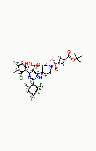 CC(C)(C)OC(=O)C1CC(S(=O)(=O)N2CCC(C3=C(C(=O)O)C(c4ccc(F)c(F)c4Cl)N=C(c4c(F)cc(F)cc4F)N3)CC2)C1